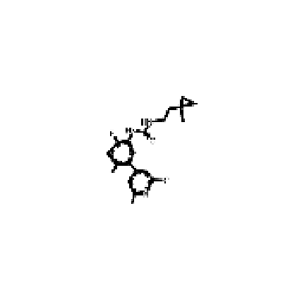 Cc1cc(-c2cc(NC(=O)NCCC3(C)CC3)c(F)cc2C)cc(Cl)n1